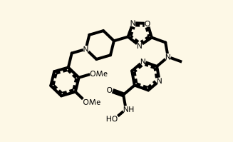 COc1cccc(CN2CCC(c3noc(CN(C)c4ncc(C(=O)NO)cn4)n3)CC2)c1OC